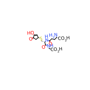 N[C@@H](CCC(=O)N[C@@H](CSC1C=C(O)C(=O)C1)C(=O)NCC(=O)O)C(=O)O